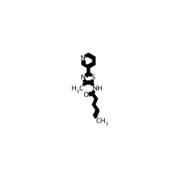 C/C=C/CCC(=O)Nc1sc(-c2cccnc2)nc1C